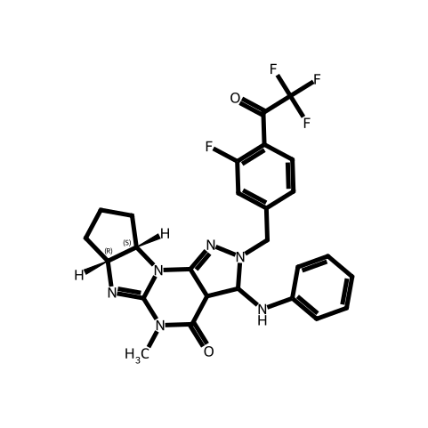 CN1C(=O)C2C(=NN(Cc3ccc(C(=O)C(F)(F)F)c(F)c3)C2Nc2ccccc2)N2C1=N[C@@H]1CCC[C@@H]12